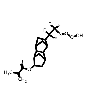 C=C(C)C(=O)OC1CC2CC1C1C3CC(C21)C(C(F)(F)C(F)(F)SOOO)C3